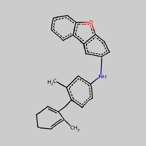 CC1=CCCC=C1c1ccc(Nc2ccc3oc4ccccc4c3c2)cc1C